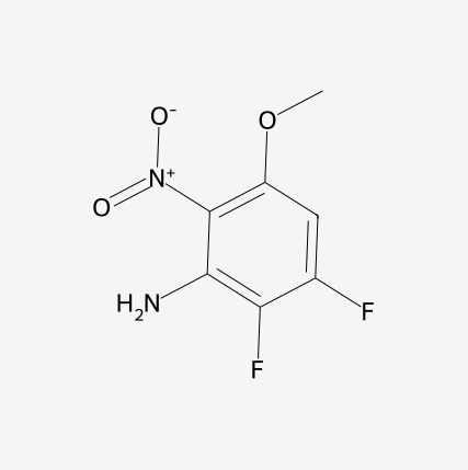 COc1cc(F)c(F)c(N)c1[N+](=O)[O-]